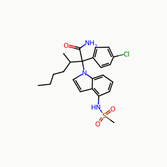 CCCCC(C)C(C(N)=O)(c1ccc(Cl)cc1)n1ccc2c(NS(C)(=O)=O)cccc21